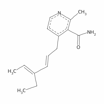 CC=C(C=CCc1ccnc(C)c1C(N)=O)CC